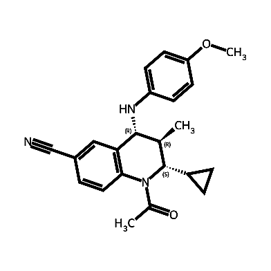 COc1ccc(N[C@H]2c3cc(C#N)ccc3N(C(C)=O)[C@@H](C3CC3)[C@@H]2C)cc1